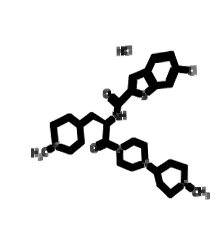 CN1CCC(C[C@@H](NC(=O)c2cc3ccc(Cl)cc3s2)C(=O)N2CCN(C3CCN(C)CC3)CC2)CC1.Cl